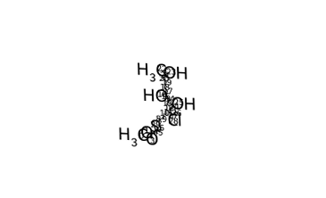 COC(=O)c1ccc(CCC[C@@H]2[C@@H](C=C[C@@H](O)CCCC[C@@H](C)O)[C@H](O)C[C@H]2Cl)s1